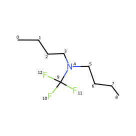 CCCCN(CCCC)C(F)(F)F